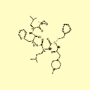 CC(C)CC[C@H](NC(=O)[C@H](CCc1ccccc1)NC(=O)CN1CCN(C)CC1)C(=O)N[C@@H](Cc1ccccc1)C(=O)N[C@@H](CC(C)C)C(=O)[C@@]1(C)CO1